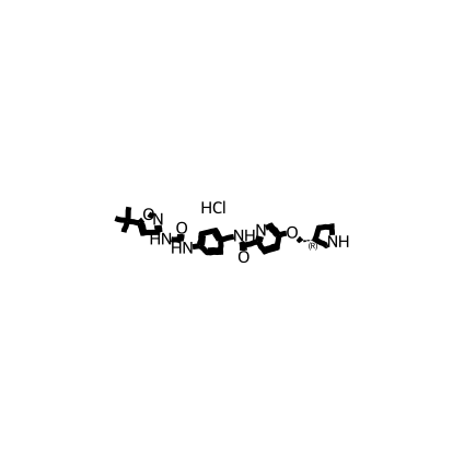 CC(C)(C)c1cc(NC(=O)Nc2ccc(NC(=O)c3ccc(OC[C@@H]4CCNC4)cn3)cc2)no1.Cl